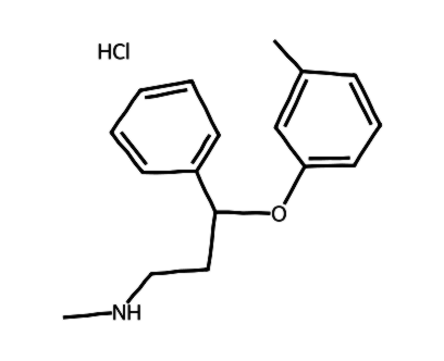 CNCCC(Oc1cccc(C)c1)c1ccccc1.Cl